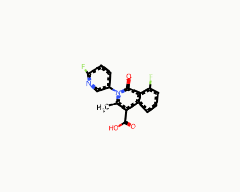 Cc1c(C(=O)O)c2cccc(F)c2c(=O)n1-c1ccc(F)nc1